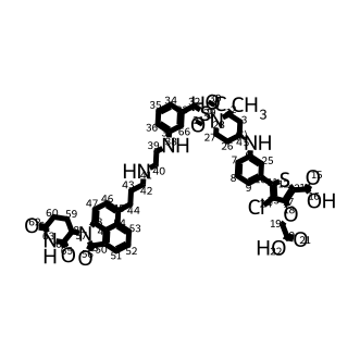 CC1(C)C[C@@H](Nc2cccc(-c3sc(C(=O)O)c(OCC(=O)O)c3Cl)c2)CCN1S(=O)(=O)Cc1cccc(NCCNCCCc2ccc3c4c(cccc24)C(=O)N3C2CCC(=O)NC2=O)c1